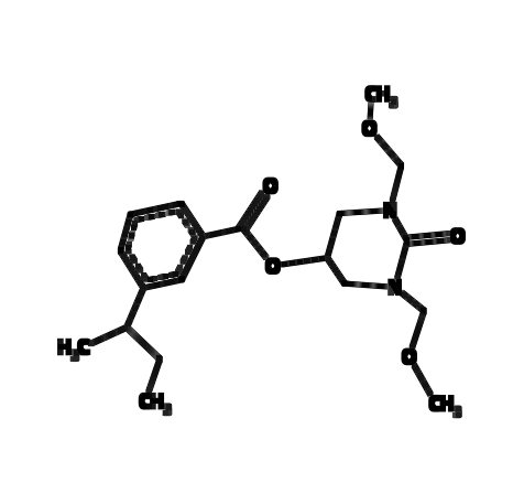 CCC(C)c1cccc(C(=O)OC2CN(COC)C(=O)N(COC)C2)c1